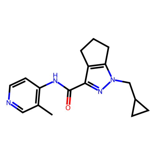 Cc1cnccc1NC(=O)c1nn(CC2CC2)c2c1CCC2